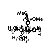 COCCOC1(C(=O)COCOC)CCC(c2nc3c(-c4ccc(-c5ncc[nH]5)nc4)cnn3c(N(COCC[Si](C)(C)C)COCC[Si](C)(C)C)c2Br)CC1